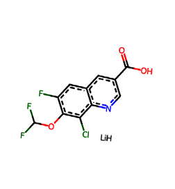 O=C(O)c1cnc2c(Cl)c(OC(F)F)c(F)cc2c1.[LiH]